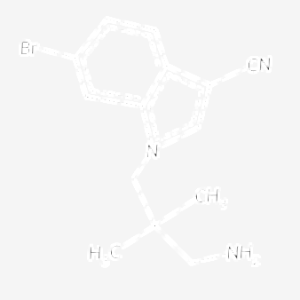 CC(C)(CN)Cn1cc(C#N)c2ccc(Br)cc21